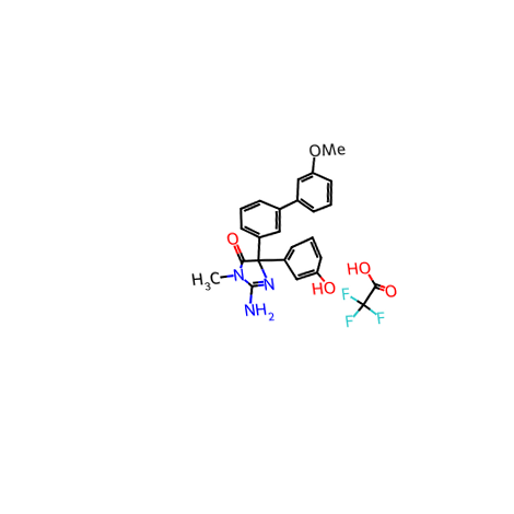 COc1cccc(-c2cccc(C3(c4cccc(O)c4)N=C(N)N(C)C3=O)c2)c1.O=C(O)C(F)(F)F